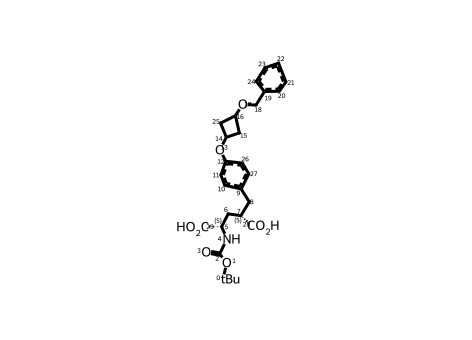 CC(C)(C)OC(=O)N[C@@H](C[C@H](Cc1ccc(OC2CC(OCc3ccccc3)C2)cc1)C(=O)O)C(=O)O